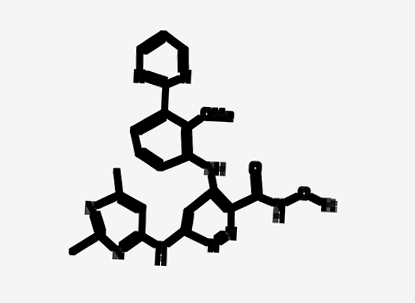 CCONC(=O)c1nnc(Nc2cc(C)nc(C)n2)cc1Nc1cccc(-c2ncccn2)c1OC